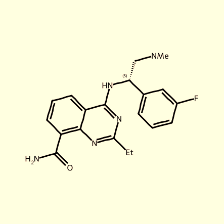 CCc1nc(N[C@H](CNC)c2cccc(F)c2)c2cccc(C(N)=O)c2n1